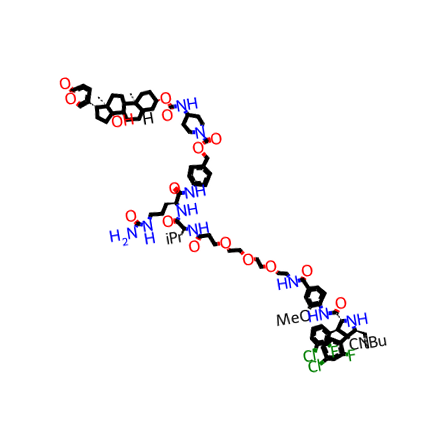 COc1cc(C(=O)NCCOCCOCCOCCC(=O)N[C@H](C(=O)N[C@@H](CCCNC(N)=O)C(=O)Nc2ccc(COC(=O)N3CCC(NC(=O)O[C@H]4CC[C@]5(C)C6CC[C@]7(C)[C@@H](c8ccc(=O)oc8)CC[C@]7(O)C6CC[C@@H]5C4)CC3)cc2)C(C)C)ccc1NC(=O)[C@@H]1N[C@@H](CC(C)(C)C)[C@](C#N)(c2ccc(Cl)cc2F)[C@H]1c1cccc(Cl)c1F